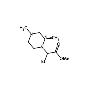 CCC(C(=O)OC)N1CCN(C)C[C@H]1C